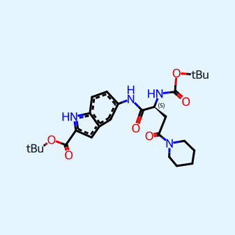 CC(C)(C)OC(=O)N[C@@H](CC(=O)N1CCCCC1)C(=O)Nc1ccc2[nH]c(C(=O)OC(C)(C)C)cc2c1